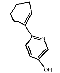 Oc1ccc(C2=CCCCC2)nc1